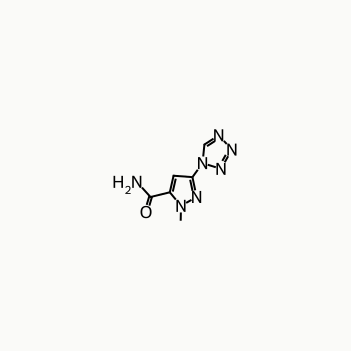 Cn1nc(-n2cnnn2)cc1C(N)=O